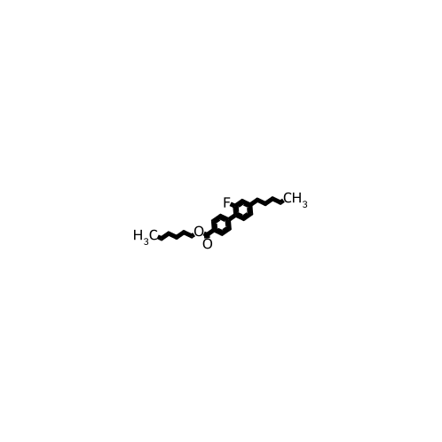 CCCCCCOC(=O)c1ccc(-c2ccc(CCCCC)cc2F)cc1